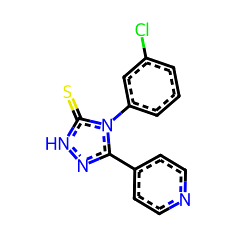 S=c1[nH]nc(-c2ccncc2)n1-c1cccc(Cl)c1